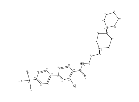 O=C(NCCCN1CCC(N2CCCCC2)CC1)c1ccc(-c2ccc(C(F)(F)F)cc2)cc1Cl